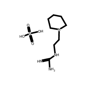 N=C(N)NCCN1CCCCC1.O=S(=O)(O)O